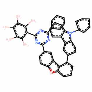 Bc1c(B)c(B)c(-c2nc(-c3ccccc3)nc(-c3ccc4oc5cccc(-c6ccc7c(c6)c6ccccc6n7-c6ccccc6)c5c4c3)n2)c(B)c1B